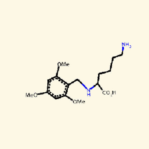 COc1cc(OC)c(CNC(CCCCN)C(=O)O)c(OC)c1